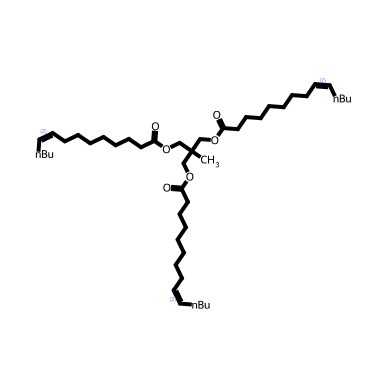 CCCC/C=C\CCCCCCCC(=O)OCC(C)(COC(=O)CCCCCCC/C=C\CCCC)COC(=O)CCCCCCC/C=C\CCCC